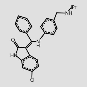 CC(C)NCc1ccc(NC(=C2C(=O)Nc3cc(Cl)ccc32)c2ccccc2)cc1